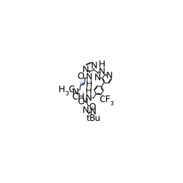 CN(C)C/C=C/C(=O)Nc1nccnc1-c1nc2c(-c3ccc(CNC(=O)c4nc(C(C)(C)C)no4)c(C(F)(F)F)c3)ccnc2[nH]1